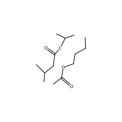 CC(C)CC(=O)CC(C)C.CCCCOC(C)=O